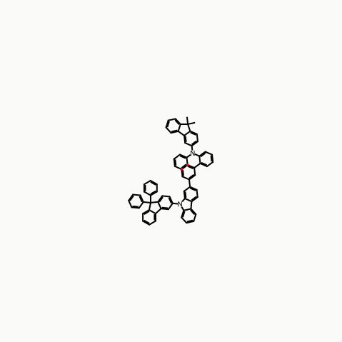 CC1(C)c2ccccc2-c2cc(N(c3ccccc3)c3ccccc3-c3cccc(-c4ccc5c6ccccc6n(-c6ccc7c(c6)-c6ccccc6C7(c6ccccc6)c6ccccc6)c5c4)c3)ccc21